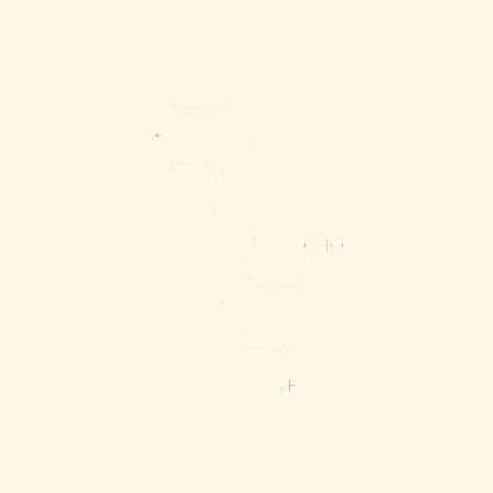 O=Cc1cc(F)ccc1C#Cc1ccccc1